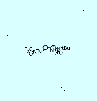 Cn1c(=O)n(CC(C)(C)C)c2ccc(-c3cccc(CN4CCN(C(=O)C(F)(F)F)CC4)c3)nc21